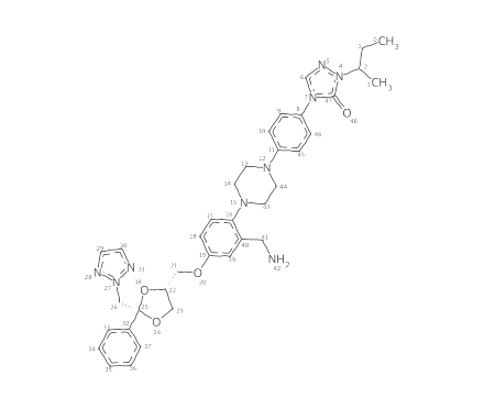 CCC(C)n1ncn(-c2ccc(N3CCN(c4ccc(OC[C@@H]5CO[C@@](Cn6nccn6)(c6ccccc6)O5)cc4CN)CC3)cc2)c1=O